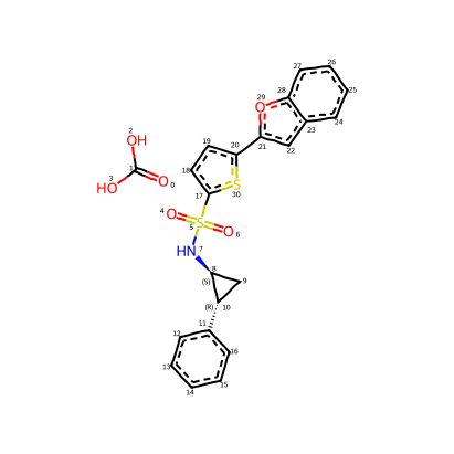 O=C(O)O.O=S(=O)(N[C@H]1C[C@@H]1c1ccccc1)c1ccc(-c2cc3ccccc3o2)s1